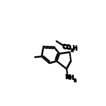 CC(=O)O.Cc1ccc2c(c1)C(N)CC2